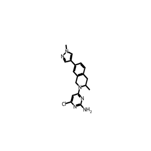 CC1Cc2ccc(-c3cnn(C)c3)cc2CN1c1cc(Cl)nc(N)n1